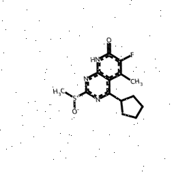 Cc1c(F)c(=O)[nH]c2nc([S+](C)[O-])nc(C3CCCC3)c12